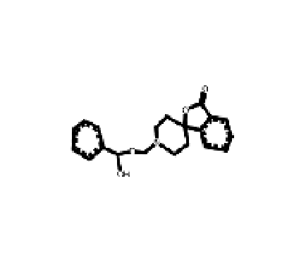 O=C1OC2(CCN(CCC(O)c3ccccc3)CC2)c2ccccc21